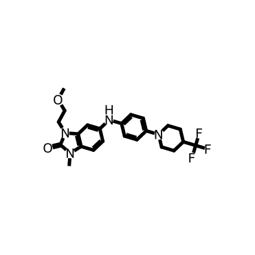 COCCn1c(=O)n(C)c2ccc(Nc3ccc(N4CCC(C(F)(F)F)CC4)cc3)cc21